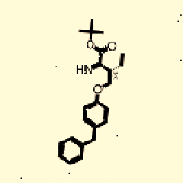 CC[C@H](COc1ccc(Cc2ccccc2)cc1)C(=N)C(=O)OC(C)(C)C